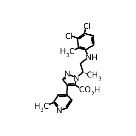 Cc1cc(-c2cnn([C@@H](C)CNc3ccc(Cl)c(Cl)c3C)c2C(=O)O)ccn1